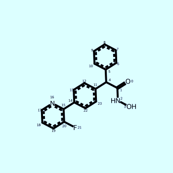 O=C(NO)C(c1ccccc1)c1ccc(-c2ncccc2F)cc1